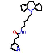 O=C(CCc1cccnc1)NCCCCCCN1c2ccccc2CCc2ccccc21